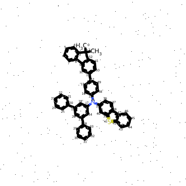 CC1(C)c2ccccc2-c2cc(-c3ccc(N(c4cc(-c5ccccc5)cc(-c5ccccc5)c4)c4ccc5c(c4)sc4ccccc45)cc3)ccc21